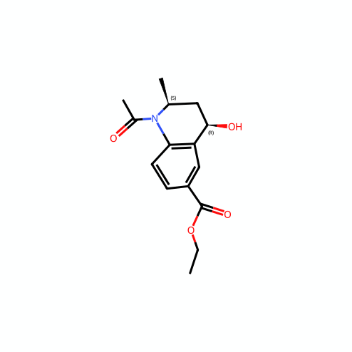 CCOC(=O)c1ccc2c(c1)[C@H](O)C[C@H](C)N2C(C)=O